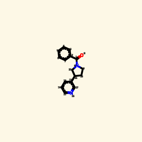 O=C(c1[c]cccc1)N1CCC(c2cccnc2)C1